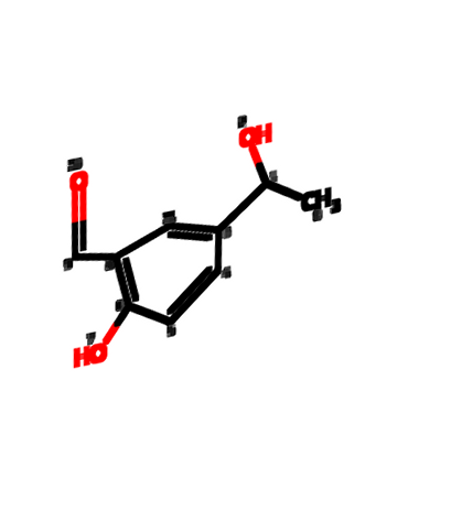 CC(O)c1ccc(O)c(C=O)c1